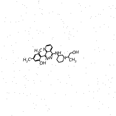 Cc1cc(C)c(-c2nnc(NC3CCCN(C(C)CO)C3)c3cccnc23)c(O)c1